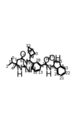 CC(C)[C@]1(C)CC(=O)N(C(c2cccc(C(=O)NC3c4ccccc4C[C@H]3O)c2)[C@@H]2CC3CC32)C(=N)N1